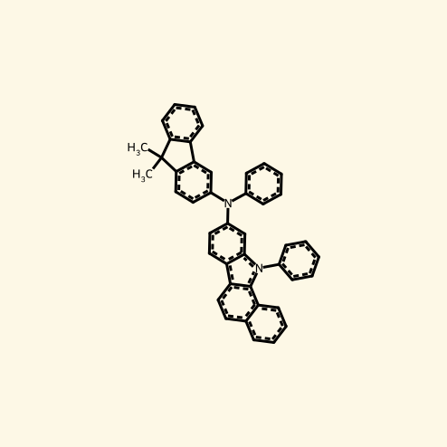 CC1(C)c2ccccc2-c2cc(N(c3ccccc3)c3ccc4c5ccc6ccccc6c5n(-c5ccccc5)c4c3)ccc21